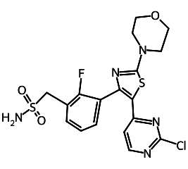 NS(=O)(=O)Cc1cccc(-c2nc(N3CCOCC3)sc2-c2ccnc(Cl)n2)c1F